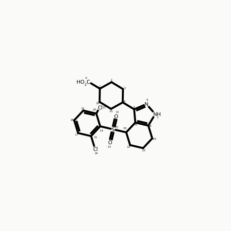 O=C(O)C1CCC(c2n[nH]c3c2C(S(=O)(=O)c2c(Cl)cccc2Cl)CCC3)CC1